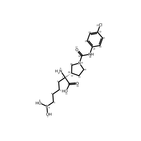 NC(CCCCB(O)O)(C(=O)O)[C@H]1CCN(C(=O)Nc2ccc(Cl)cc2)C1